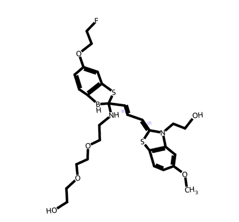 COc1ccc2c(c1)N(CCO)/C(=C/C=C/C1(NCCOCCOCCO)Bc3ccc(OCCF)cc3S1)S2